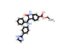 CCOC(=O)c1ccc2c(c1)NC(=O)C2=C(Nc1ccc(-c2ncc[nH]2)cc1)c1ccccc1